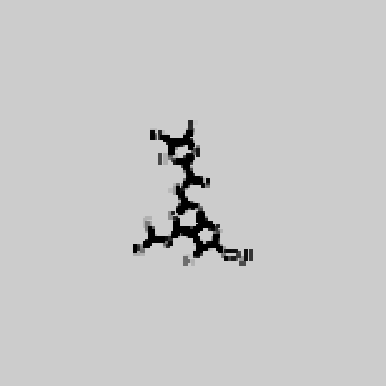 CCc1[nH]c(C(=O)Nc2nc(OC(CC)CC)c3c(n2)SC(C(=O)O)C3CC)nc1Cl